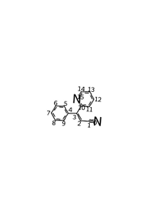 N#C/C=C(/c1ccccc1)c1ccccn1